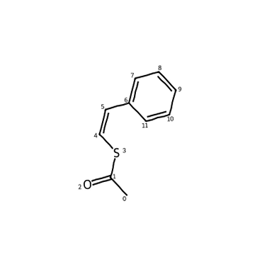 CC(=O)S/C=C\c1ccccc1